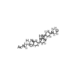 CC(=O)N1CC(COc2ccc(-c3ccnc(Nc4ccc(N5CCOCC5)cc4)n3)cc2N)C1